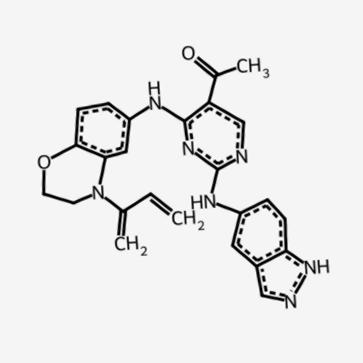 C=CC(=C)N1CCOc2ccc(Nc3nc(Nc4ccc5[nH]ncc5c4)ncc3C(C)=O)cc21